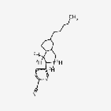 [2H]C1([2H])CC2CC(CCCCC)CCC2C([2H])([2H])C1c1ccc(C#N)cc1